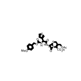 COc1ccc(COC(=O)NC(C(=O)N[C@H]2C(=O)N3C(C(=O)O)=C(COC(C)=O)CSC23)c2ccsc2)cc1